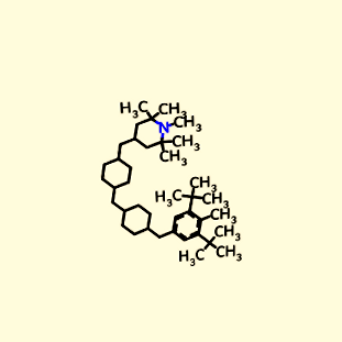 Cc1c(C(C)(C)C)cc(CC2CCC(CC3CCC(CC4CC(C)(C)N(C)C(C)(C)C4)CC3)CC2)cc1C(C)(C)C